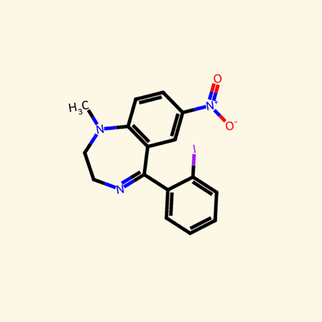 CN1CCN=C(c2ccccc2I)c2cc([N+](=O)[O-])ccc21